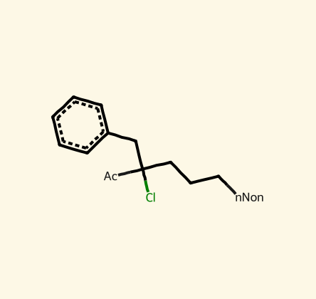 CCCCCCCCCCCCC(Cl)(Cc1ccccc1)C(C)=O